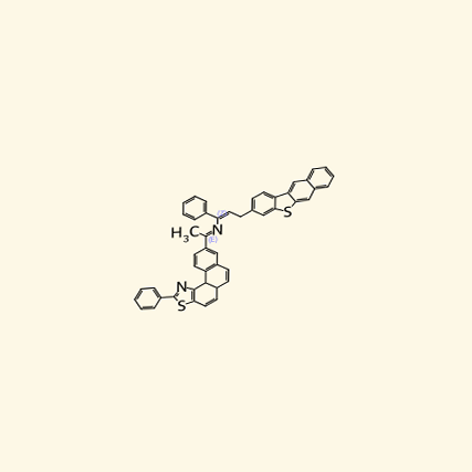 C/C(=N\C(=C/Cc1ccc2c(c1)sc1cc3ccccc3cc12)c1ccccc1)c1ccc2c(c1)C=CC1C=Cc3sc(-c4ccccc4)nc3C21